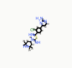 CN(C(=N)SC(=N)c1ccc(-c2ccnc(N)n2)cc1Cl)C1CC(C)(C)NC(C)(C)C1